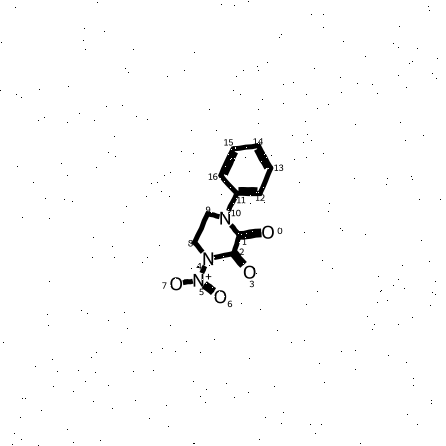 O=C1C(=O)N([N+](=O)[O-])CCN1c1ccccc1